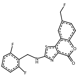 O=c1oc2ccc(CF)cc2c2sc(NCc3c(F)cccc3F)nc12